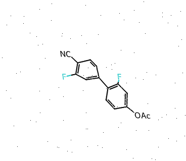 CC(=O)Oc1ccc(-c2ccc(C#N)c(F)c2)c(F)c1